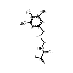 C=C(C)C(=O)NCOCc1cc(C(C)(C)C)c(O)c(C(C)(C)C)c1